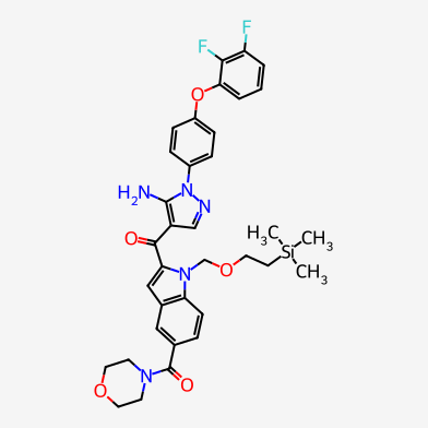 C[Si](C)(C)CCOCn1c(C(=O)c2cnn(-c3ccc(Oc4cccc(F)c4F)cc3)c2N)cc2cc(C(=O)N3CCOCC3)ccc21